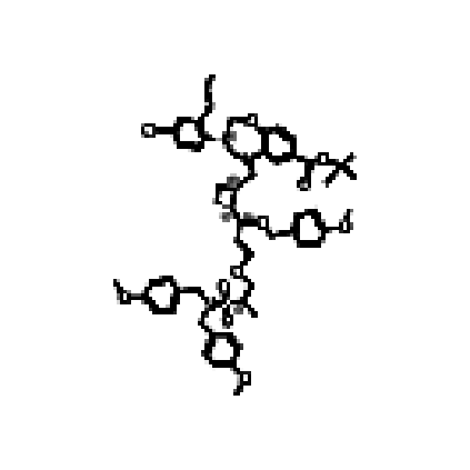 CCCc1cc(Cl)ccc1[C@@H]1COc2ccc(C(=O)OC(C)(C)C)cc2N(C[C@@H]2CC[C@H]2[C@H](CCOC[C@@H](C)S(=O)(=O)N(Cc2ccc(OC)cc2)Cc2ccc(OC)cc2)OCc2ccc(OC)cc2)C1